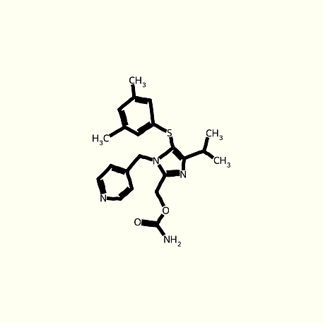 Cc1cc(C)cc(Sc2c(C(C)C)nc(COC(N)=O)n2Cc2ccncc2)c1